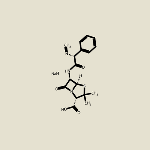 C=N[C@@H](C(=O)N[C@@H]1C(=O)N2[C@@H]1SC(C)(C)[C@@H]2C(=O)O)c1ccccc1.[NaH]